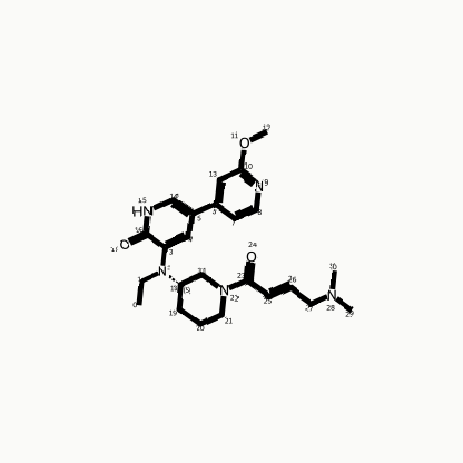 CCN(c1cc(-c2ccnc(OC)c2)c[nH]c1=O)[C@H]1CCCN(C(=O)C=CCN(C)C)C1